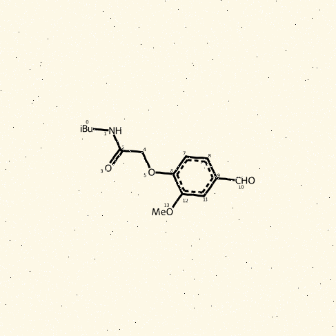 CCC(C)NC(=O)COc1ccc(C=O)cc1OC